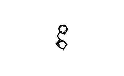 [CH]1CC2CC1C=C2Cc1ccccc1